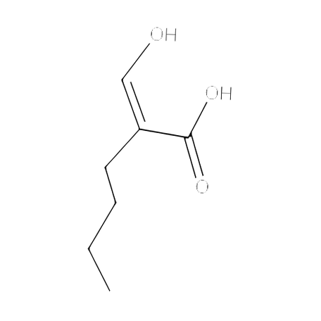 CCCCC(=CO)C(=O)O